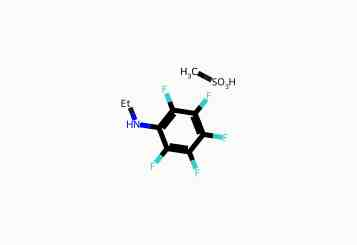 CCNc1c(F)c(F)c(F)c(F)c1F.CS(=O)(=O)O